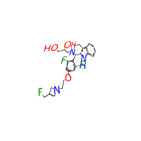 C[C@@H]1Cc2c([nH]c3ccccc23)[C@@H](c2c(F)cc(OCCN3CC(CF)C3)cc2F)N1C[C@@H](O)CO